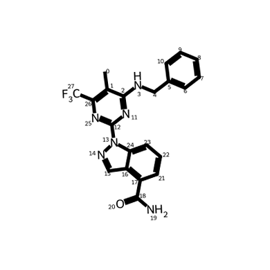 Cc1c(NCc2ccccc2)nc(-n2ncc3c(C(N)=O)cccc32)nc1C(F)(F)F